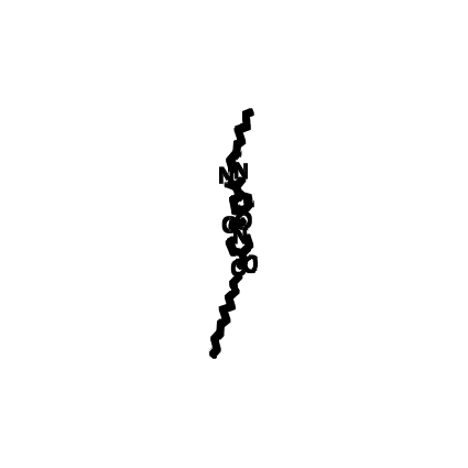 CCCCCCCCCCCCOC(=O)C1CCN(C(=O)Oc2ccc(-c3cnc(CCCCCCCC)nc3)cc2)CC1